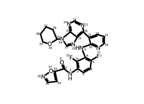 O=C(Nc1ccc(F)c(Nc2ncccc2-c2ncnc3c2ncn3C2CCCCO2)c1F)c1ccno1